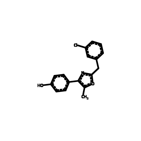 Cc1oc(Cc2cccc(Cl)c2)nc1-c1ccc(O)cc1